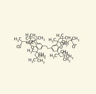 CC(CCCOc1c(C(C)(C)CC(C)(C)C)cc(CCc2cc(C(C)(C)CC(C)(C)C)c(OCCCC(C)C3CO3)c(C(C)(C)CC(C)(C)C)c2)cc1C(C)(C)CC(C)(C)C)C1CO1